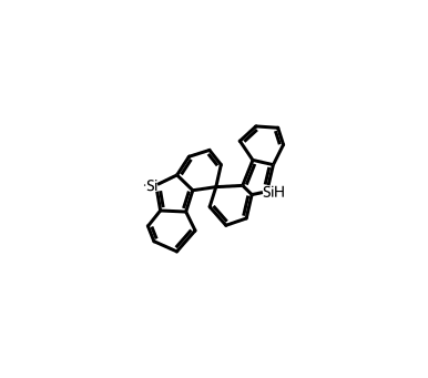 C1=CC2(C=CC=C3[SiH]=c4ccccc4=C32)C2=c3ccccc3=[Si]C2=C1